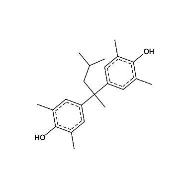 Cc1cc(C(C)(CC(C)C)c2cc(C)c(O)c(C)c2)cc(C)c1O